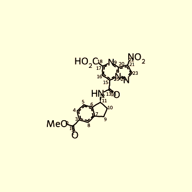 COC(=O)c1ccc2c(c1)CC[C@@H]2NC(=O)c1cc(C(=O)O)nc2c([N+](=O)[O-])cnn12